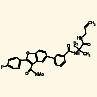 C=CCNC(=O)C(C)(C)NC(=O)c1cccc(-c2ccc3oc(-c4ccc(F)cc4)c(C(=O)NC)c3c2)c1